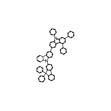 C1=CC2c3cc(-c4ccc5c(c4)c4c(-c6ccccc6)cc(-c6ccccc6)cc4n5-c4ccccc4)ccc3N(c3ccc4c(c3)C(c3ccccc3)(c3ccccc3)c3ccccc3-4)C2C=C1